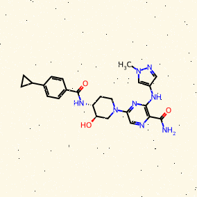 Cn1cc(Nc2nc(N3CC[C@@H](NC(=O)c4ccc(C5CC5)cc4)[C@H](O)C3)cnc2C(N)=O)cn1